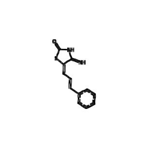 N=C1NC(=O)SC1=CC=Cc1ccccc1